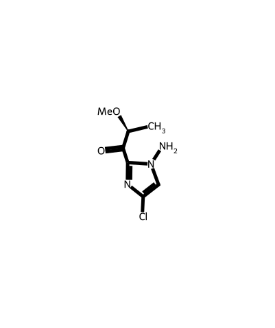 CO[C@@H](C)C(=O)c1nc(Cl)cn1N